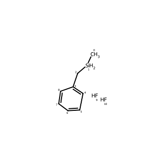 C[SiH2]Cc1ccccc1.F.F